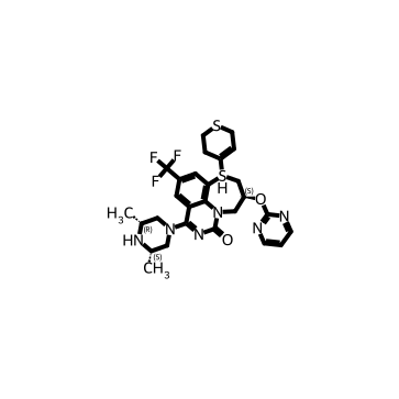 C[C@@H]1CN(c2nc(=O)n3c4c(cc(C(F)(F)F)cc24)[SH](C2=CCSCC2)C[C@@H](Oc2ncccn2)C3)C[C@H](C)N1